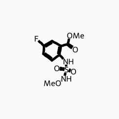 CONS(=O)(=O)Nc1ccc(F)cc1C(=O)OC